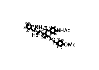 COc1ccc(COCCc2csc(NC(S)N(N)Cc3cccnc3)c2C(=O)c2ccc(NC(C)=O)cc2)cc1